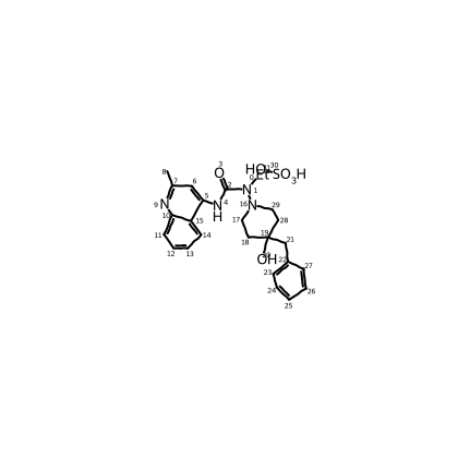 CCN(C(=O)Nc1cc(C)nc2ccccc12)N1CCC(O)(Cc2ccccc2)CC1.O=S(=O)(O)O